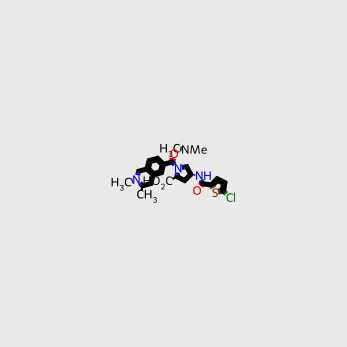 CNC.C[C@@H]1Cc2cc(C(=O)N3C[C@H](NC(=O)c4ccc(Cl)s4)C[C@H]3C(=O)O)ccc2CN1C